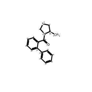 [CH2][C@@H]1CSCN1C(=O)c1ccccc1-c1ccccc1